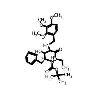 CCOC(=O)C(NCc1ccc(OC)c(OC)c1OC)C(O)[C@H](Cc1ccccc1)NC(=O)OC(C)(C)C